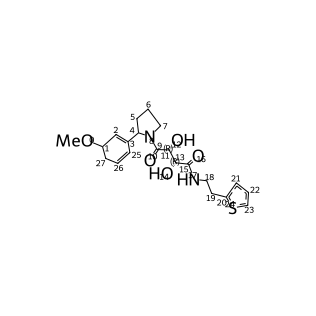 COC1C=C(C2CCCN2C(=O)[C@H](O)[C@@H](O)C(=O)NCCc2cccs2)C=CC1